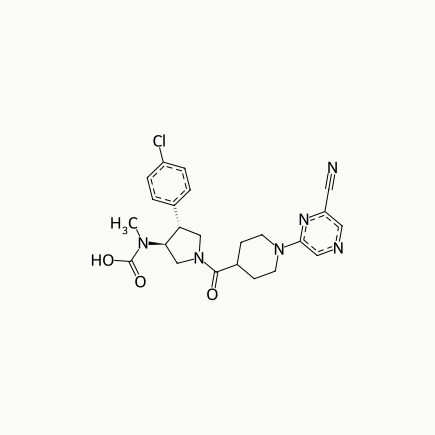 CN(C(=O)O)[C@@H]1CN(C(=O)C2CCN(c3cncc(C#N)n3)CC2)C[C@H]1c1ccc(Cl)cc1